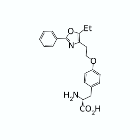 CCc1oc(-c2ccccc2)nc1CCOc1ccc(C[C@H](N)C(=O)O)cc1